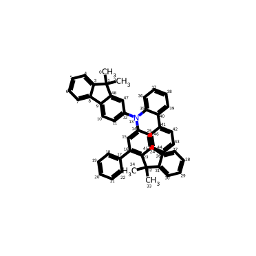 CC1(C)c2ccccc2-c2ccc(N(c3cc(-c4ccccc4)c4c(c3)-c3ccccc3C4(C)C)c3ccccc3-c3ccccc3)cc21